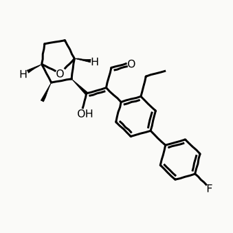 CCc1cc(-c2ccc(F)cc2)ccc1/C(C=O)=C(\O)[C@H]1[C@@H](C)[C@@H]2CC[C@H]1O2